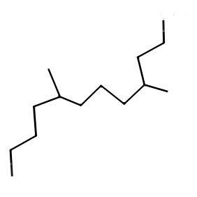 CC(C)CCCC(C)CCCC(C)CCC(=O)O